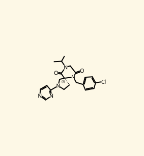 CC(C)N1CC(=O)N(Cc2ccc(Cl)cc2)[C@]2(CCN(c3ccncn3)C2)C1=O